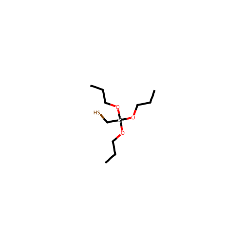 CCCO[Si](CS)(OCCC)OCCC